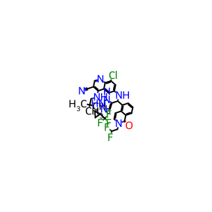 CC(C)(C)CNc1c(C#N)cnc2c(Cl)cc(N[C@H](C3=CN(C4(C(F)(F)F)CC4)NN3)c3cccc4c(=O)n(CC(F)F)ccc34)cc12